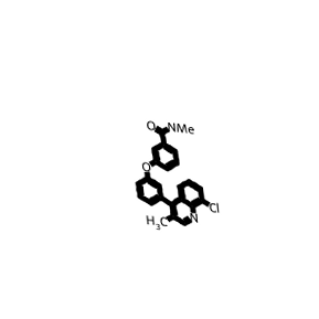 CNC(=O)c1cccc(Oc2cccc(-c3c(C)cnc4c(Cl)cccc34)c2)c1